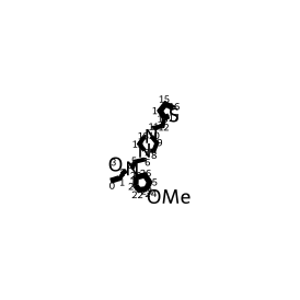 C=CC(=O)N(CCN1CCN(CCc2cccs2)CC1)c1ccc(OC)cc1